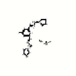 Cc1cc(C=NNN2CCCC2)nc(C=NNN2CCCC2)c1.[Cl-].[Cl-].[Cl-].[Fe+3]